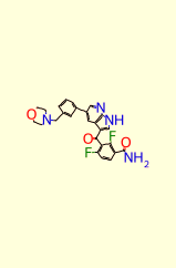 NC(=O)c1ccc(F)c(C(=O)c2c[nH]c3ncc(-c4cccc(CN5CCOCC5)c4)cc23)c1F